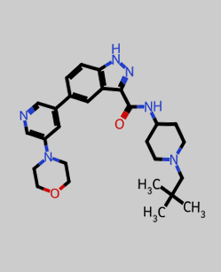 CC(C)(C)CN1CCC(NC(=O)c2n[nH]c3ccc(-c4cncc(N5CCOCC5)c4)cc23)CC1